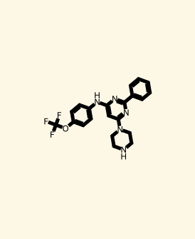 FC(F)(F)Oc1ccc(Nc2cc(N3CCNCC3)nc(-c3ccccc3)n2)cc1